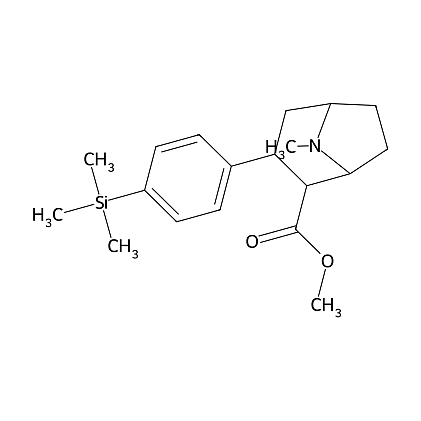 COC(=O)C1C(c2ccc([Si](C)(C)C)cc2)CC2CCC1N2C